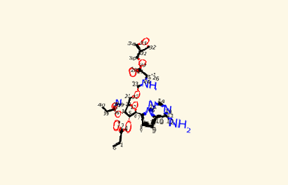 CCC(=O)O[C@H]1[C@H](c2ccc3c(N)ncnn23)O[C@](C#N)(COCN[C@@H](C)C(=O)OCC2COC2)[C@H]1OC(=O)CC